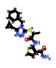 CC(Sc1nnc(C2CC2)n1Cc1ccccc1)C(=O)Nc1sccc1C(N)=O